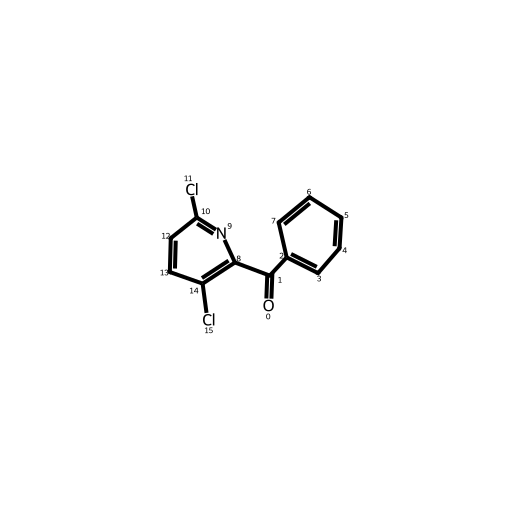 O=C(c1ccccc1)c1nc(Cl)ccc1Cl